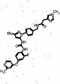 Cc1cc(Oc2ccc(NC(=O)Nc3cc(C(C)(C)C)nn3-c3ccc(CNC(=O)Cc4cn(C)cn4)cc3)c(F)c2)ccn1